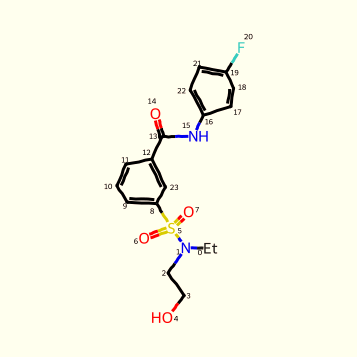 CCN(CCO)S(=O)(=O)c1cccc(C(=O)Nc2ccc(F)cc2)c1